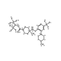 CC1CCN(c2cc(C(F)(F)F)ccc2CNC2(C)CCN(C(=O)OC(C(F)(F)F)C(F)(F)F)CC2)CC1